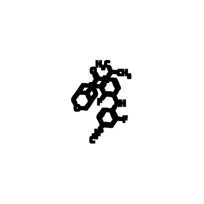 [C-]#[N+]c1ccc(Nc2ccnc(OC3C4COCC3CN(C(=O)OC(C)C)C4)c2F)c(F)c1